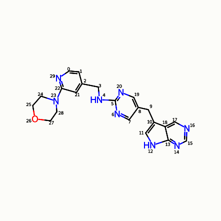 c1cc(CNc2ncc(Cc3c[nH]c4ncncc34)cn2)cc(N2CCOCC2)n1